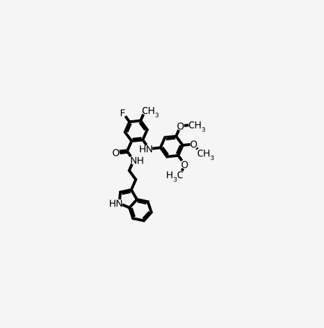 COc1cc(Nc2cc(C)c(F)cc2C(=O)NCCc2c[nH]c3ccccc23)cc(OC)c1OC